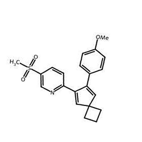 COc1ccc(C2=CC3(C=C2c2ccc(S(C)(=O)=O)cn2)CCC3)cc1